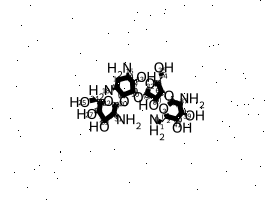 NC[C@@H]1O[C@H](O[C@H]2[C@H](O)[C@H](O[C@H]3[C@@H](O)[C@H](N)C[C@H](N)[C@H]3O[C@H]3O[C@H](CO)[C@@H](O)[C@H](O)[C@H]3N)O[C@@H]2CO)[C@@H](N)[C@@H](O)[C@@H]1O